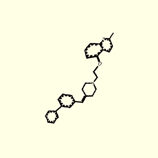 Cc1ccc2c(OCCN3CCC(=Cc4cccc(-c5ccccc5)c4)CC3)cccc2n1